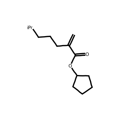 C=C(CCCC(C)C)C(=O)OC1CCCC1